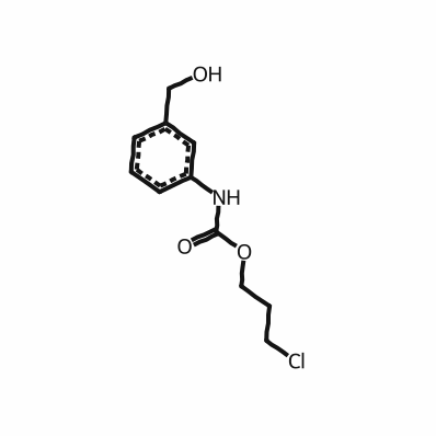 O=C(Nc1cccc(CO)c1)OCCCCl